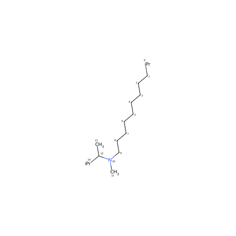 CC(C)CCCCCCCCCN(C)C(C)C(C)C